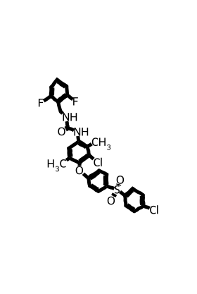 Cc1cc(NC(=O)NCc2c(F)cccc2F)c(C)c(Cl)c1Oc1ccc(S(=O)(=O)c2ccc(Cl)cc2)cc1